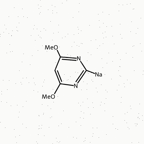 COc1cc(OC)n[c]([Na])n1